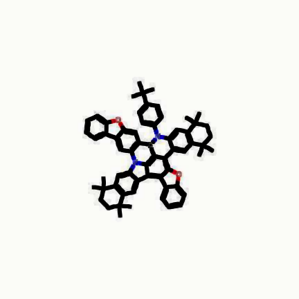 CC(C)(C)c1ccc(N2B3c4cc5oc6ccccc6c5cc4-n4c5cc6c(cc5c5c7c(oc8ccccc87)c(c3c54)-c3cc4c(cc32)C(C)(C)CCC4(C)C)C(C)(C)CCC6(C)C)cc1